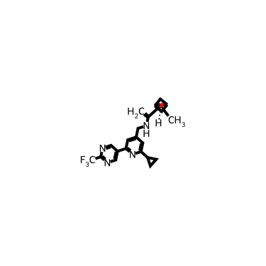 C=C(NCc1cc(-c2cnc(C(F)(F)F)nc2)nc(C2CC2)c1)[C@@H]1C2CC(C2)N1C